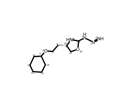 N=NNC1N[C@@H](CCOC2CCCCC2)CO1